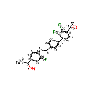 CCCC(O)c1ccc(CCc2ccc(-c3ccc(C4CO4)c(F)c3F)cc2)c(F)c1